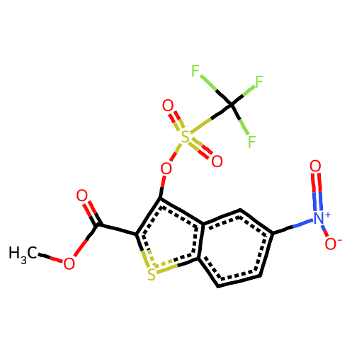 COC(=O)c1sc2ccc([N+](=O)[O-])cc2c1OS(=O)(=O)C(F)(F)F